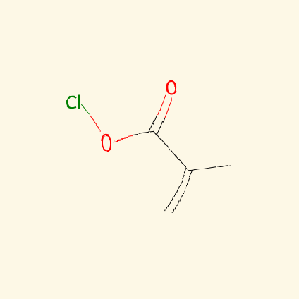 C=C(C)C(=O)OCl